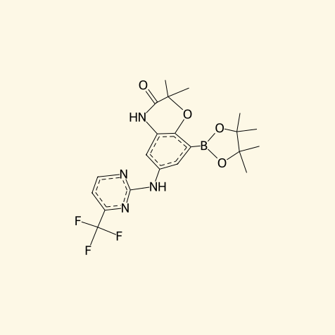 CC1(C)Oc2c(cc(Nc3nccc(C(F)(F)F)n3)cc2B2OC(C)(C)C(C)(C)O2)NC1=O